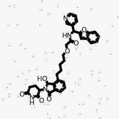 O=C1CCC(N2C(=O)c3cccc(CCCCCOCC(=O)NC(c4cccnc4)c4cc5ccccc5o4)c3C2O)C(=O)N1